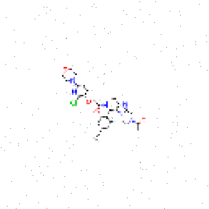 CC(=O)N1CCn2c(nc3c2C(c2ccc(C4CC4)cc2F)N(C(=O)COc2ccc(N4CCOCC4)nc2Cl)CC3)C1